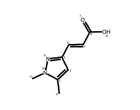 Cc1cc(C=CC(=O)O)nn1C